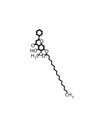 CCCCCCCCCCCCCCCCC(=O)Oc1cc2oc(-c3ccccc3)cc(=O)c2c(O)c1OC